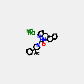 CC(=O)C1(c2ccccc2)CCN(CC(=O)N[C@H]2CCc3ccccc3[C@H]2Cc2cccnc2)CC1.Cl.Cl